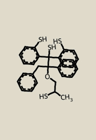 CC(S)COC(Cc1ccccc1)(c1ccccc1)C(S)(c1ccccc1S)c1ccccc1S